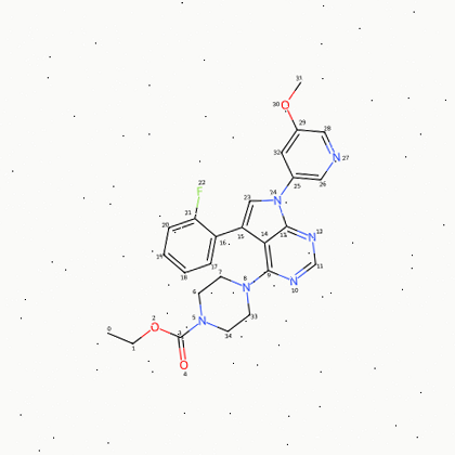 CCOC(=O)N1CCN(c2ncnc3c2c(-c2ccccc2F)cn3-c2cncc(OC)c2)CC1